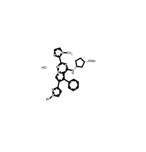 CO[C@H]1CC[C@@H](Nc2nc(-c3nccn3C)nn3cc(-c4ccn(C(C)C)n4)c(-c4ccccc4)c23)C1.Cl